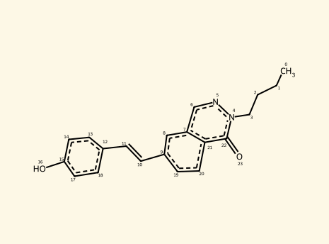 CCCCn1ncc2cc(C=Cc3ccc(O)cc3)ccc2c1=O